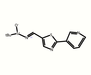 CC(C)(C)[S+]([O-])/N=C/c1cnc(-c2cccnc2)s1